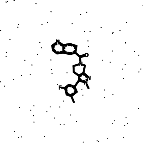 Cc1cc(F)cc(-c2c3c(nn2C)CN(C(=O)c2ccc4ncccc4c2)CC3)c1